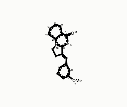 COc1cccc(/C=C2\CCn3c2nc(=O)c2ccccc23)c1